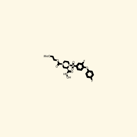 COCCOC(=O)N1CCN(S(=O)(=O)c2ccc(Oc3ccc(F)cc3)c(F)c2)[C@@H](C(=O)NO)C1